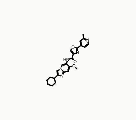 COc1cc2nc(C3CCCCC3)cn2cc1NC(=O)c1coc(-c2ccnc(C)c2)n1